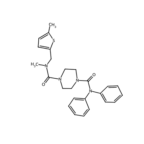 Cc1ccc(CN(C)C(=O)N2CCN(C(=O)N(c3ccccc3)c3ccccc3)CC2)s1